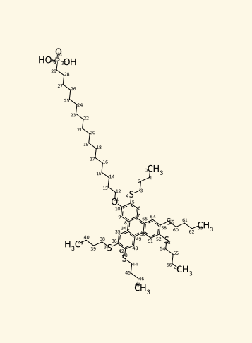 CCCCSc1cc2c(cc1OCCCCCCCCCCCCCCCCCCP(=O)(O)O)c1cc(SCCCC)c(SCCCC)cc1c1cc(SCCCC)c(SCCCC)cc21